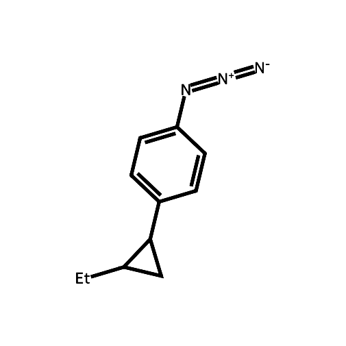 CC[C]1CC1c1ccc(N=[N+]=[N-])cc1